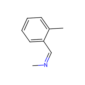 C/N=C\c1ccccc1C